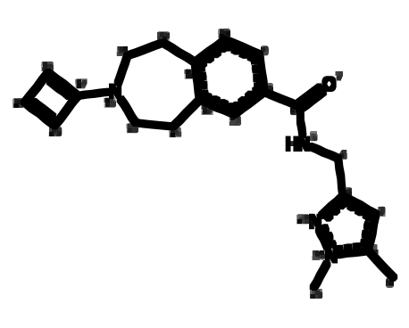 Cc1cc(CNC(=O)c2ccc3c(c2)CCN(C2=CC=C2)CC3)nn1C